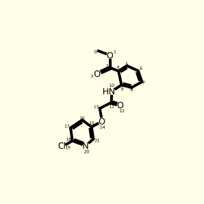 COC(=O)c1ccccc1NC(=O)COc1ccc(Cl)nc1